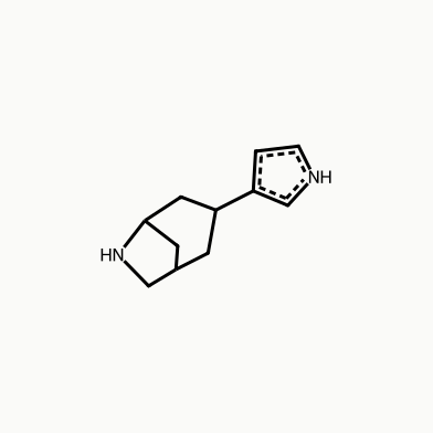 c1cc(C2CC3CNC(C3)C2)c[nH]1